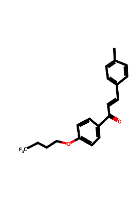 Cc1ccc(C=CC(=O)c2ccc(OCCCC(F)(F)F)cc2)cc1